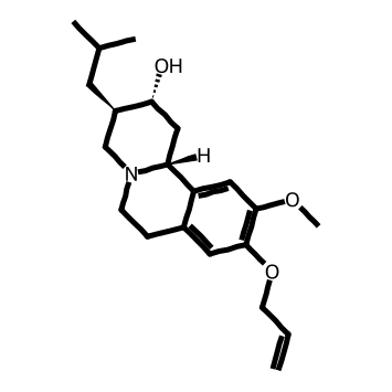 C=CCOc1cc2c(cc1OC)[C@H]1C[C@@H](O)[C@H](CC(C)C)CN1CC2